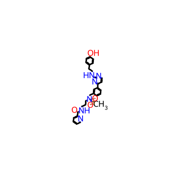 CS(=O)(=O)N(CCCNC(=O)c1ccccn1)Cc1cccc(-c2ccnc(NCCc3ccc(O)cc3)n2)c1